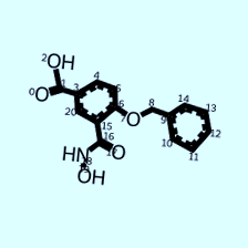 O=C(O)c1ccc(OCc2ccccc2)c(C(=O)NO)c1